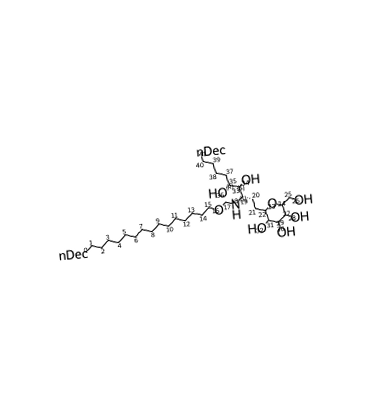 CCCCCCCCCCCCCCCCCCCCCCCCCOCN[C@@H](CCC1OC(CO)C(O)C(O)C1O)[C@H](O)[C@H](O)CCCCCCCCCCCCCC